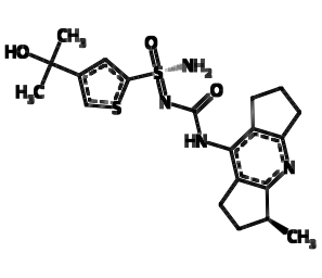 C[C@H]1CCc2c1nc1c(c2NC(=O)N=[S@](N)(=O)c2cc(C(C)(C)O)cs2)CCC1